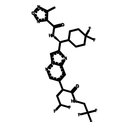 Cc1nonc1C(=O)N[C@H](c1cn2ncc(C(CC(F)F)C(=O)NCC(F)(F)F)cc2n1)C1CCC(F)(F)CC1